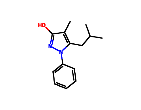 Cc1c(O)nn(-c2ccccc2)c1CC(C)C